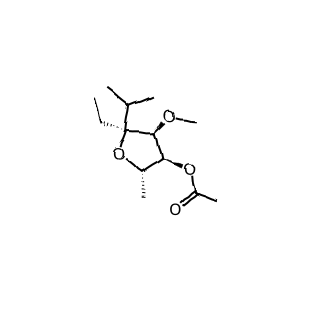 CC[C@@]1(C(C)C)O[C@@H](C)[C@H](OC(C)=O)[C@@H]1OC